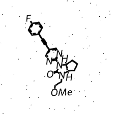 COCCN1C(=O)N(c2ncc(C#Cc3ccc(F)cc3)cn2)[C@@H]2CCC[C@@H]21